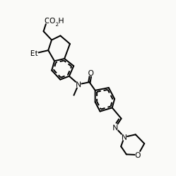 CCC1c2ccc(N(C)C(=O)c3ccc(C=NN4CCOCC4)cc3)cc2CCC1CC(=O)O